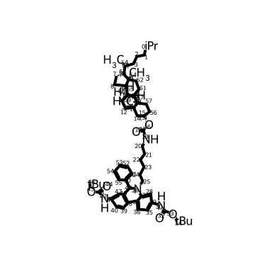 CC(C)CCC[C@@H](C)[C@H]1CC[C@H]2[C@@H]3CC=C4C[C@@H](OC(=O)NCCCCCCN5c6cc(NC(=O)OC(C)(C)C)ccc6-c6ccc(NC(=O)OC(C)(C)C)cc6C5c5ccccc5)CC[C@]4(C)[C@H]3CC[C@]12C